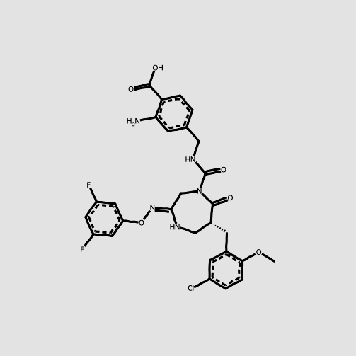 COc1ccc(Cl)cc1C[C@@H]1CN/C(=N\Oc2cc(F)cc(F)c2)CN(C(=O)NCc2ccc(C(=O)O)c(N)c2)C1=O